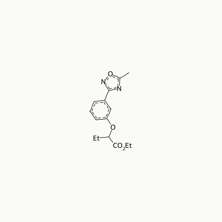 CCOC(=O)C(CC)Oc1cccc(-c2noc(C)n2)c1